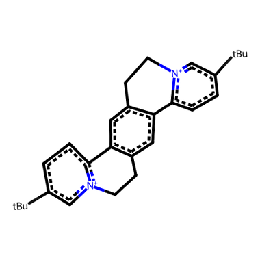 CC(C)(C)c1ccc2[n+](c1)CCc1cc3c(cc1-2)CC[n+]1cc(C(C)(C)C)ccc1-3